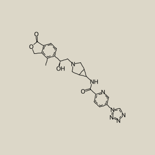 Cc1c([C@H](O)CN2CC3C(C2)C3NC(=O)c2ccc(-n3cnnn3)cn2)ccc2c1COC2=O